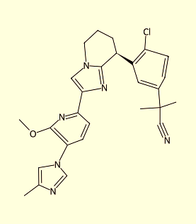 COc1nc(-c2cn3c(n2)[C@H](c2cc(C(C)(C)C#N)ccc2Cl)CCC3)ccc1-n1cnc(C)c1